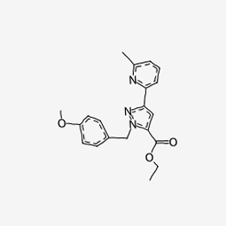 CCOC(=O)c1cc(-c2cccc(C)n2)nn1Cc1ccc(OC)cc1